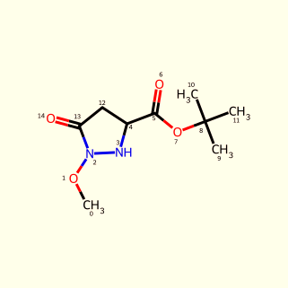 CON1NC(C(=O)OC(C)(C)C)CC1=O